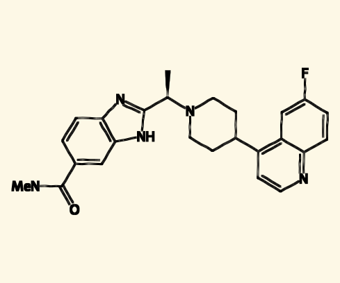 CNC(=O)c1ccc2nc([C@@H](C)N3CCC(c4ccnc5ccc(F)cc45)CC3)[nH]c2c1